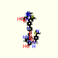 Cc1ncsc1-c1ccc([C@H](C)NC(=O)[C@@H]2C[C@@H](O)CN2C(=O)[C@@H](NC(=O)COc2ccc(-c3ccc(C4=N[C@@H](CC(=O)O)c5nnc(C)n5-c5sc(C)c(C)c54)cc3)nc2)C(C)(C)C)cc1